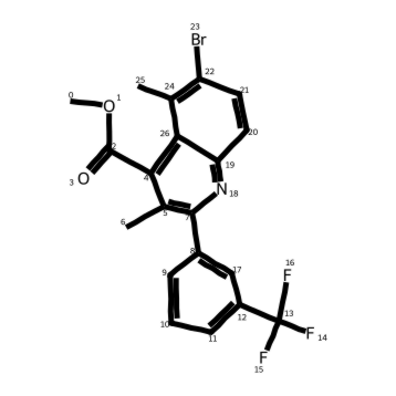 COC(=O)c1c(C)c(-c2cccc(C(F)(F)F)c2)nc2ccc(Br)c(C)c12